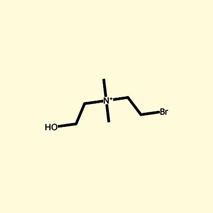 C[N+](C)(CCO)CCBr